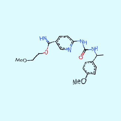 COCCOC(=N)c1ccc(NC(=O)NC(C)c2ccc(OC)cc2)nc1